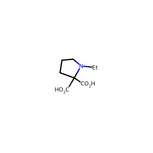 CCN1CCCC1(C(=O)O)C(=O)O